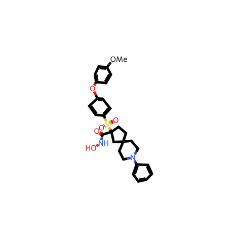 COc1ccc(Oc2ccc(S(=O)(=O)C3(C(=O)NO)CCC4(CCN(c5ccccc5)CC4)C3)cc2)cc1